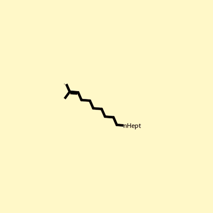 [CH2]/C(C)=C/CCCCCCCCCCCCCC